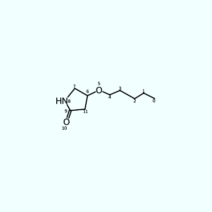 CCCCCOC1CNC(=O)C1